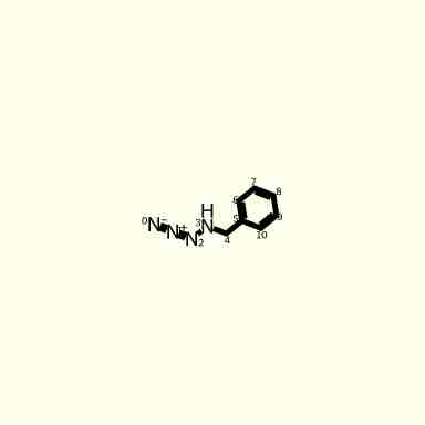 [N-]=[N+]=NNCc1ccccc1